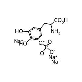 NC(Cc1ccc(O)c(O)c1)C(=O)O.O=P([O-])([O-])[O-].[Na+].[Na+].[Na+]